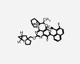 C#Cc1c(F)ccc2cccc(-c3nc4c5c(nc(OCC67CCCN6[C@@H]6C[C@@H]6C7)nc5c3F)N3CC5CCC(N5)C3C(C)O4)c12